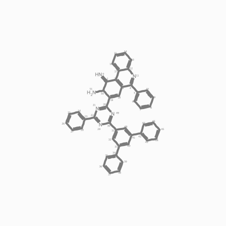 N=C1c2c(c(-c3ccccc3)nc3ccccc23)C=C(c2nc(-c3ccccc3)nc(-c3cc(-c4ccccc4)cc(-c4ccccc4)c3)n2)C1N